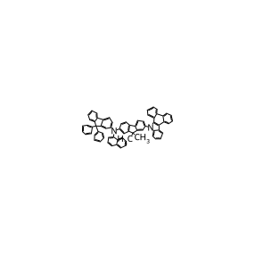 CC1(C)c2cc(N(c3ccc4c(c3)C(c3ccccc3)(c3ccccc3)c3ccccc3-4)c3cccc4ccccc34)ccc2-c2ccc(-n3c4ccccc4c4c5ccccc5c5ccccc5c43)cc21